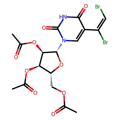 CC(=O)OC[C@H]1O[C@@H](n2cc(/C(Br)=C\Br)c(=O)[nH]c2=O)[C@H](OC(C)=O)[C@@H]1OC(C)=O